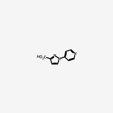 O=C(O)c1ccn(-c2ccncc2)n1